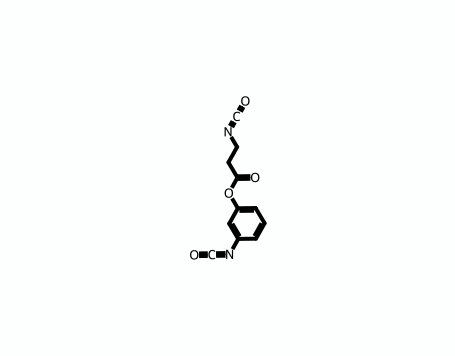 O=C=NCCC(=O)Oc1cccc(N=C=O)c1